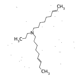 C/C=C/CCCCCCN(CCC)CCCCC/C=C/CC